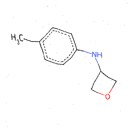 Cc1ccc(NC2COC2)cc1